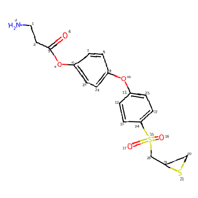 NCCC(=O)Oc1ccc(Oc2ccc(S(=O)(=O)CC3CS3)cc2)cc1